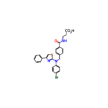 O=C(O)CCNC(=O)c1ccc(CN(c2ccc(Br)cc2)c2nc(-c3ccccc3)cs2)cc1